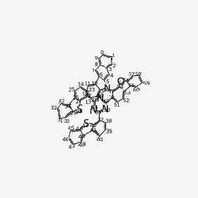 c1ccc2cc3c(cc2c1)c1ccccc1n3-c1c(-c2nc(-c3cccc4c3sc3ccccc34)nc(-c3cccc4c3sc3ccccc34)n2)ccc2c1oc1ccccc12